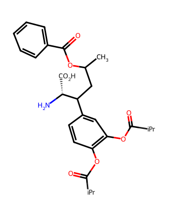 CC(CC(c1ccc(OC(=O)C(C)C)c(OC(=O)C(C)C)c1)[C@H](N)C(=O)O)OC(=O)c1ccccc1